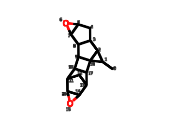 CC1C2C3CC4OC4C3C3C4C5CC(C6OC56)C4C132